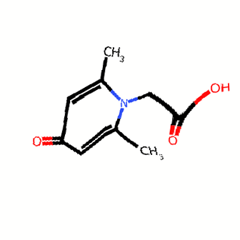 Cc1cc(=O)cc(C)n1CC(=O)O